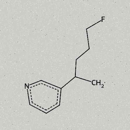 [CH2]C(CCCF)c1cccnc1